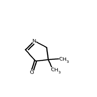 CC1(C)CN=CC1=O